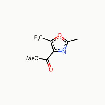 COC(=O)c1nc(C)oc1C(F)(F)F